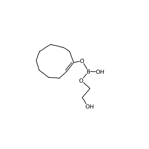 OCCOB(O)OC1=CCCCCCCCC1